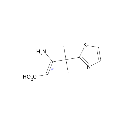 CC(C)(/C(N)=C/C(=O)O)c1nccs1